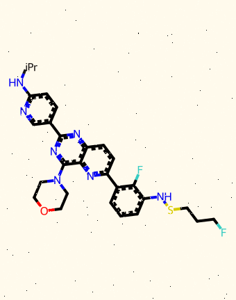 CC(C)Nc1ccc(-c2nc(N3CCOCC3)c3nc(-c4cccc(NSCCCF)c4F)ccc3n2)cn1